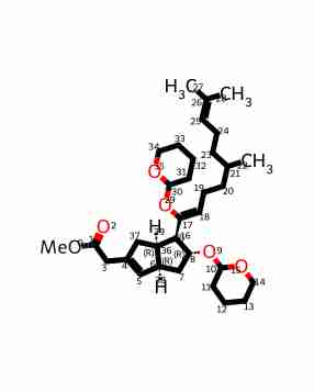 COC(=O)CC1=C[C@@H]2C[C@@H](OC3CCCCO3)[C@H](C(=CCCC(C)CCC=C(C)C)OC3CCCCO3)[C@@H]2C1